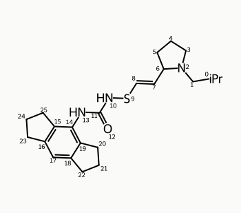 CC(C)CN1CCCC1/C=C/SNC(=O)Nc1c2c(cc3c1CCC3)CCC2